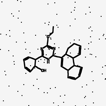 CCOC1=NC(C2=CC3C=CC=CC3C3C=CCCC23)NC(C2C=CC=CC2O)=N1